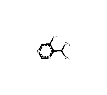 CC(C)c1ncncc1O